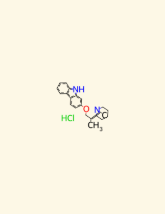 CC(COc1ccc2c(c1)[nH]c1ccccc12)=C1CC2CCN1CC2.Cl